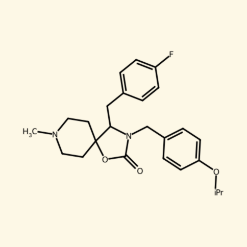 CC(C)Oc1ccc(CN2C(=O)OC3(CCN(C)CC3)C2Cc2ccc(F)cc2)cc1